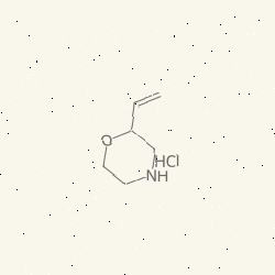 C=CC1CNCCO1.Cl